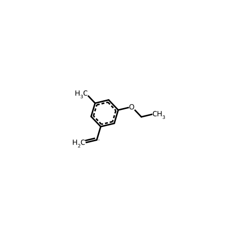 C=[C]c1cc(C)cc(OCC)c1